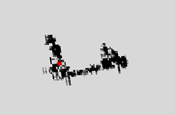 Cc1ncsc1-c1ccc(CNC(=O)[C@@H]2C[C@@H](O)CN2C(=O)C(NC(=O)COCCOCCCCCOc2cc(F)c([C@@H]3c4[nH]c5ccccc5c4C[C@@H](C)N3CC(C)(C)F)c(F)c2)C(C)(C)C)cc1